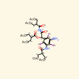 CC(=O)OCC(COC(C)=O)C(=O)NC(=O)C(OC(=O)C(COC(C)=O)COC(C)=O)c1c(I)c(N)c(I)c(NC(=O)C(COC(C)=O)COC(C)=O)c1I